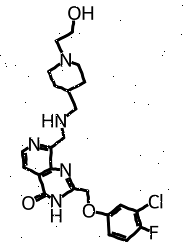 O=c1[nH]c(COc2ccc(F)c(Cl)c2)nc2c(CNCC3CCN(CCO)CC3)nccc12